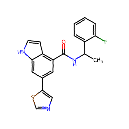 CC(NC(=O)c1cc(-c2cncs2)cc2[nH]ccc12)c1ccccc1F